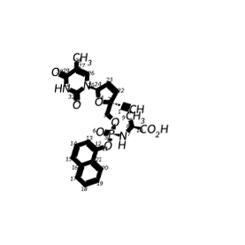 C#C[C@@]1(CO[P@](=O)(N[C@@H](C)C(=O)O)Oc2cccc3ccccc23)C=C[C@H](n2cc(C)c(=O)[nH]c2=O)O1